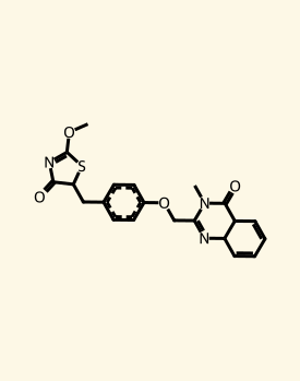 COC1=NC(=O)C(Cc2ccc(OCC3=NC4C=CC=CC4C(=O)N3C)cc2)S1